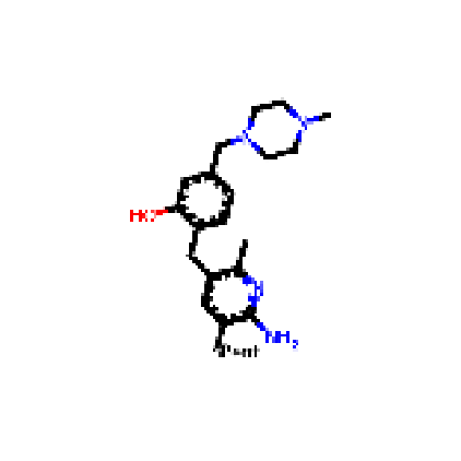 CCCCCc1cc(Cc2ccc(CN3CCN(C)CC3)cc2O)c(C)nc1N